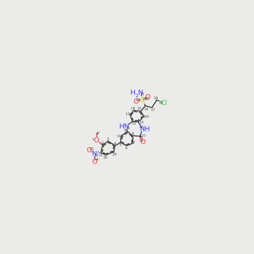 COc1cc(-c2ccc3c(c2)Nc2ccc(C(CCCl)S(N)(=O)=O)cc2NC3=O)ccc1[N+](=O)[O-]